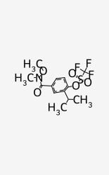 CON(C)C(=O)c1ccc(OS(=O)(=O)C(F)(F)F)c(C(C)C)c1